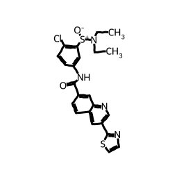 CCN(CC)[S+]([O-])c1cc(NC(=O)c2ccc3cc(-c4nccs4)cnc3c2)ccc1Cl